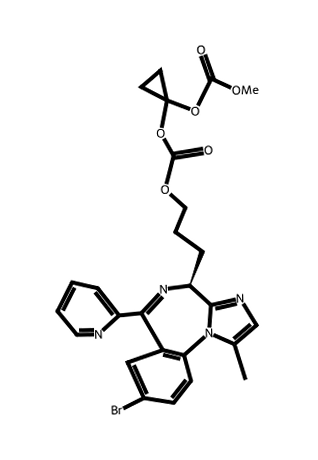 COC(=O)OC1(OC(=O)OCCC[C@@H]2N=C(c3ccccn3)c3cc(Br)ccc3-n3c(C)cnc32)CC1